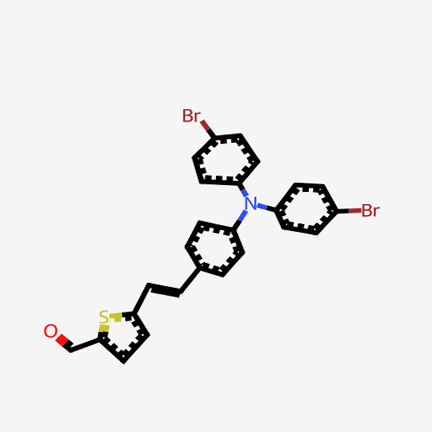 O=Cc1ccc(C=Cc2ccc(N(c3ccc(Br)cc3)c3ccc(Br)cc3)cc2)s1